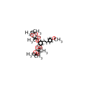 COc1ccc(/C=C/c2cc(OC(=O)C3(C)COC(C)(C)OC3)cc(OC(=O)C3(C)COC(C)(C)OC3)c2)cc1